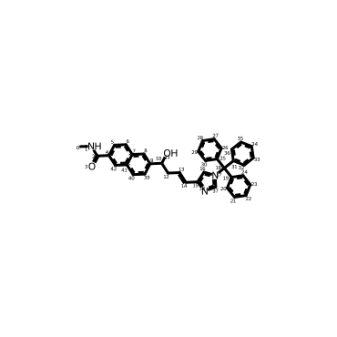 CNC(=O)c1ccc2cc(C(O)CC=Cc3cn(C(c4ccccc4)(c4ccccc4)c4ccccc4)cn3)ccc2c1